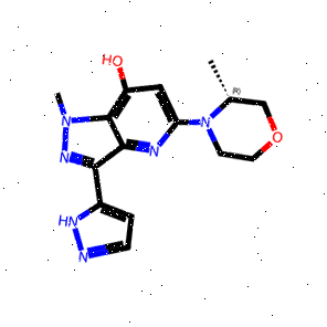 C[C@@H]1COCCN1c1cc(O)c2c(n1)c(-c1ccn[nH]1)nn2C